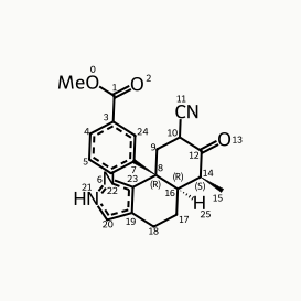 COC(=O)c1cccc([C@@]23CC(C#N)C(=O)[C@@H](C)[C@H]2CCc2c[nH]nc23)c1